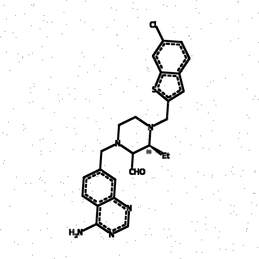 CC[C@H]1C(C=O)N(Cc2ccc3c(N)ncnc3c2)CCN1Cc1cc2ccc(Cl)cc2s1